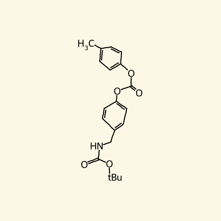 Cc1ccc(OC(=O)Oc2ccc(CNC(=O)OC(C)(C)C)cc2)cc1